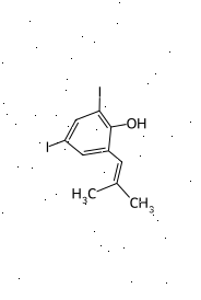 CC(C)=Cc1cc(I)cc(I)c1O